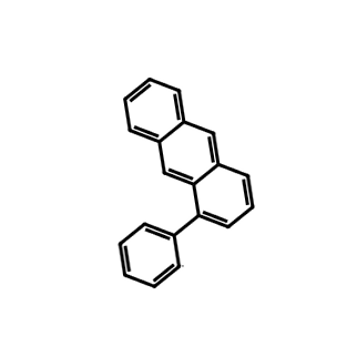 [c]1ccccc1-c1cccc2cc3ccccc3cc12